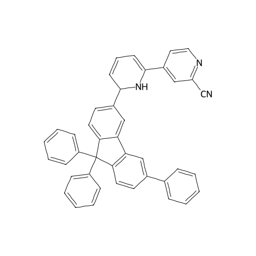 N#Cc1cc(C2=CC=CC(c3ccc4c(c3)-c3cc(-c5ccccc5)ccc3C4(c3ccccc3)c3ccccc3)N2)ccn1